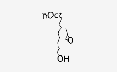 CC1CO1.CCCCCCCCCCCCCCCCO